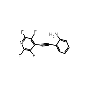 Nc1ccccc1C#Cc1c(F)c(F)nc(F)c1F